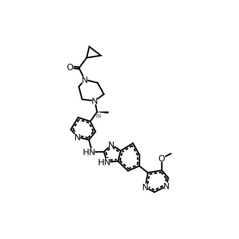 COc1cncnc1-c1ccc2nc(Nc3cc([C@H](C)N4CCN(C(=O)C5CC5)CC4)ccn3)[nH]c2c1